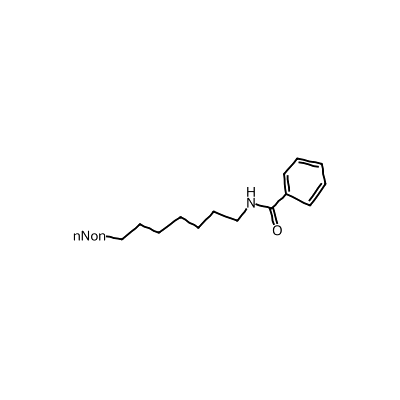 CCCCCCCCCCCCCCCCNC(=O)c1ccccc1